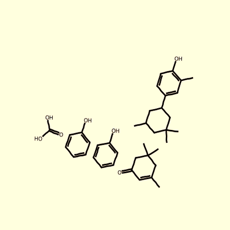 CC1=CC(=O)CC(C)(C)C1.Cc1cc(C2CC(C)CC(C)(C)C2)ccc1O.O=C(O)O.Oc1ccccc1.Oc1ccccc1